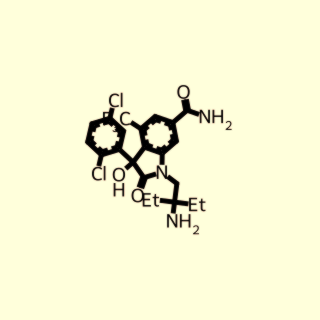 CCC(N)(CC)CN1C(=O)C(O)(c2cc(Cl)ccc2Cl)c2c1cc(C(N)=O)cc2C(F)(F)F